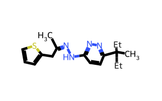 CCC(C)(CC)c1ccc(NN=C(C)Cc2cccs2)nn1